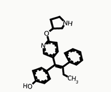 CC/C(=C(\c1ccc(O)cc1)c1ccc(OC2CCNC2)nc1)c1ccccc1